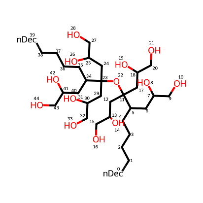 CCCCCCCCCCCCCCC(CC(O)CO)C(CC(O)CO)(CC(O)CO)OC(CC(O)CO)(CC(O)CO)C(CCCCCCCCCCCCCC)CC(O)CO